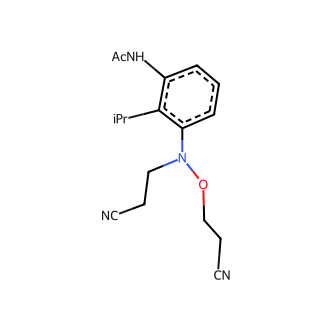 CC(=O)Nc1cccc(N(CCC#N)OCCC#N)c1C(C)C